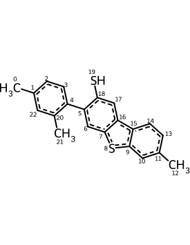 Cc1ccc(-c2cc3sc4cc(C)ccc4c3cc2S)c(C)c1